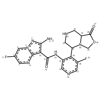 Nc1nn2cc(F)cnc2c1C(=O)Nc1cncc(F)c1C1CNCC2C(=O)OCN21